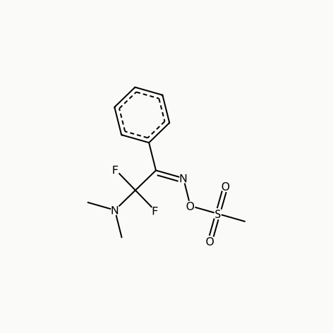 CN(C)C(F)(F)C(=NOS(C)(=O)=O)c1ccccc1